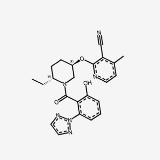 CC[C@@H]1CC[C@@H](Oc2nccc(C)c2C#N)CN1C(=O)c1c(O)cccc1-n1nccn1